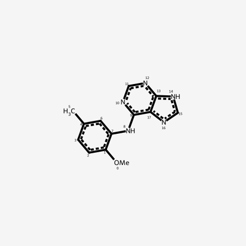 COc1ccc(C)cc1Nc1ncnc2[nH]cnc12